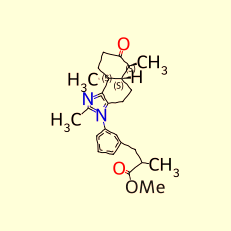 COC(=O)C(C)Cc1cccc(-n2c(C)nc3c2CC[C@H]2[C@H](C)C(=O)CC[C@]32C)c1